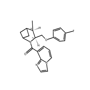 C[C@@H]1C2CC(C2)N(C(=O)c2cccn3ccnc23)[C@@H]1COc1ccc(F)cc1